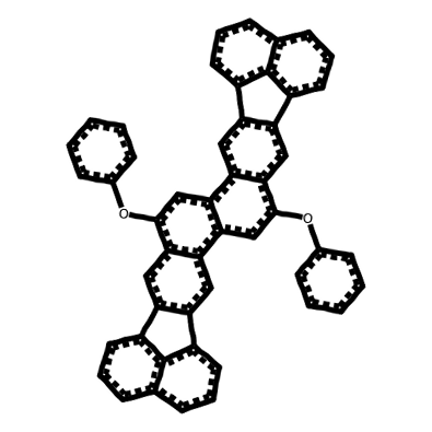 c1ccc(Oc2cc3c4cc5c(cc4c(Oc4ccccc4)cc3c3cc4c(cc23)-c2cccc3cccc-4c23)-c2cccc3cccc-5c23)cc1